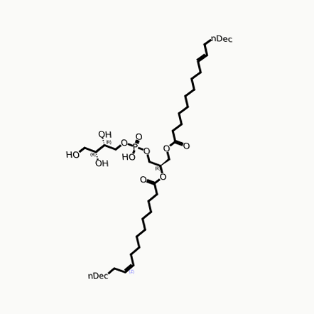 CCCCCCCCCCCC=CCCCCCCCCC(=O)OC[C@H](COP(=O)(O)OC[C@@H](O)[C@H](O)CO)OC(=O)CCCCCCCC/C=C\CCCCCCCCCCC